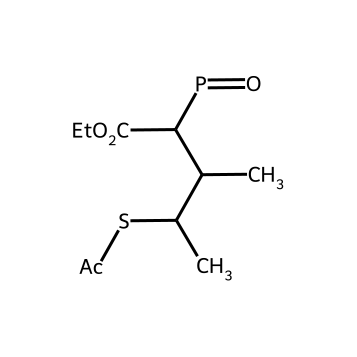 CCOC(=O)C(P=O)C(C)C(C)SC(C)=O